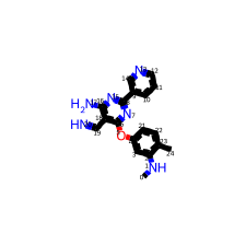 CNc1cc(Oc2nc(-c3cccnc3)nc(N)c2C=N)ccc1C